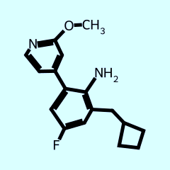 COc1cc(-c2cc(F)cc(CC3CCC3)c2N)ccn1